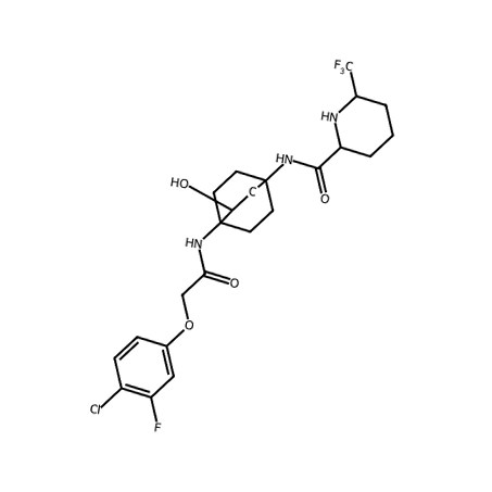 O=C(COc1ccc(Cl)c(F)c1)NC12CCC(NC(=O)C3CCCC(C(F)(F)F)N3)(CC1)CC2O